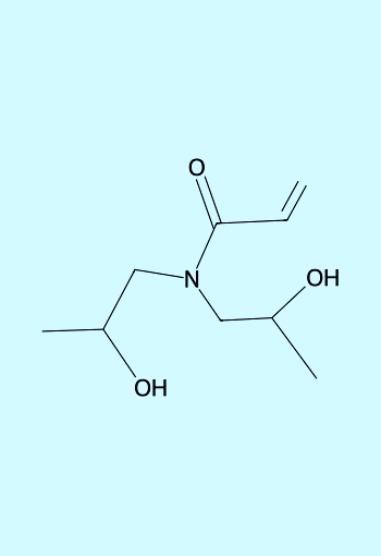 C=CC(=O)N(CC(C)O)CC(C)O